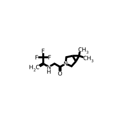 C=C(NCC(=O)N1CC2C(C1)C2(C)C)C(F)(F)F